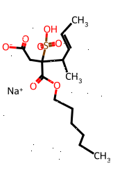 CC=CC(C)C(CC(=O)[O-])(C(=O)OCCCCCC)S(=O)(=O)O.[Na+]